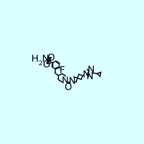 NS(=O)(=O)c1ccc(F)c(CC2CCN(C(=O)N3CC4(CC(n5cnc(C6CC6)n5)C4)C3)CC2)c1